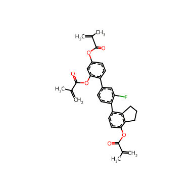 C=C(C)C(=O)Oc1ccc(-c2ccc(-c3ccc(OC(=O)C(=C)C)c4c3CCC4)c(F)c2)c(OC(=O)C(=C)C)c1